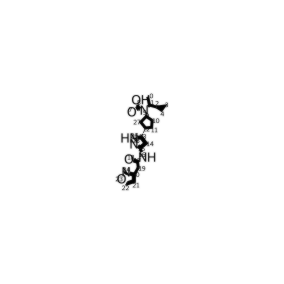 CC(C1CC1)N(C(=O)O)[C@@H]1CC[C@H](c2cc(NC(=O)Cc3ccon3)n[nH]2)C1